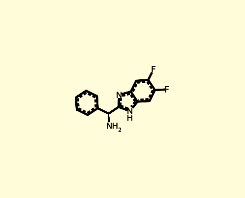 N[C@@H](c1ccccc1)c1nc2cc(F)c(F)cc2[nH]1